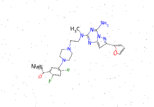 CNC(=O)c1cc(N2CCN(CCN(C)c3nc(N)n4nc(-c5ccco5)cc4n3)CC2)c(F)cc1F